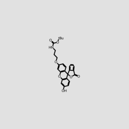 CC(C)(C)OC(=O)NCCCOc1ccc2c(c1)Oc1cc(O)ccc1C21OC(=O)c2ccccc21